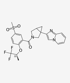 C[C@H](Oc1ccc(S(C)(=O)=O)cc1C(=O)N1CC2CC2(c2cn3ccccc3n2)C1)C(F)(F)F